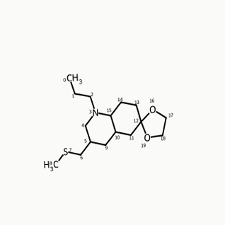 CCCN1CC(CSC)CC2CC3(CCC21)OCCO3